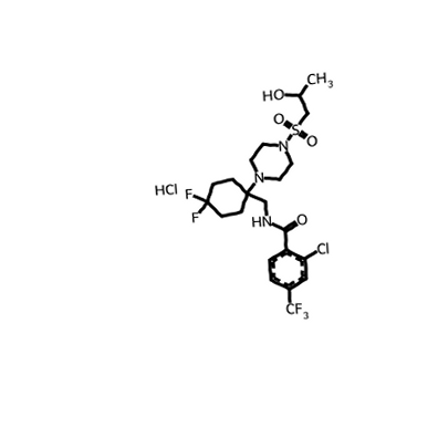 CC(O)CS(=O)(=O)N1CCN(C2(CNC(=O)c3ccc(C(F)(F)F)cc3Cl)CCC(F)(F)CC2)CC1.Cl